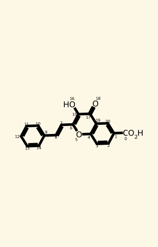 O=C(O)c1ccc2oc(/C=C/c3ccccc3)c(O)c(=O)c2c1